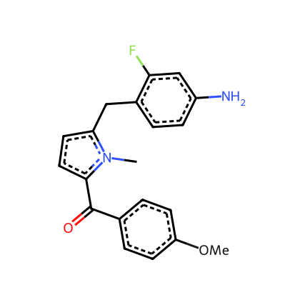 COc1ccc(C(=O)c2ccc(Cc3ccc(N)cc3F)n2C)cc1